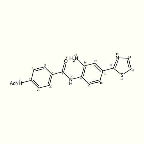 CC(=O)Nc1ccc(C(=O)Nc2ccc(-c3nccs3)cc2N)cc1